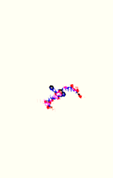 CSC[C@H](NC(=O)[C@H](CC(=O)O)NC(=O)[C@@H](N)CNC(=O)[C@H](Cc1ccccc1)NC(=O)[C@H](Cc1ccccc1)NC(=O)CCCNC(=O)CC[C@H](NC(=O)N[C@@H](CCC(=O)O)C(=O)O)C(=O)O)C(=O)O